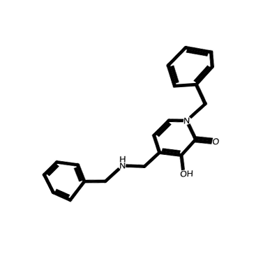 O=c1c(O)c(CNCc2ccccc2)ccn1Cc1ccccc1